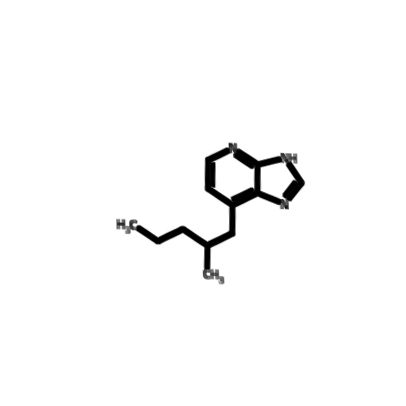 CCCC(C)Cc1ccnc2[nH]cnc12